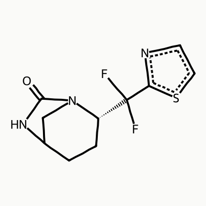 O=C1NC2CC[C@@H](C(F)(F)c3nccs3)N1C2